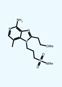 CNS(=O)(=O)CCCn1c(CCOC)nc2c(N)ncc(C)c21